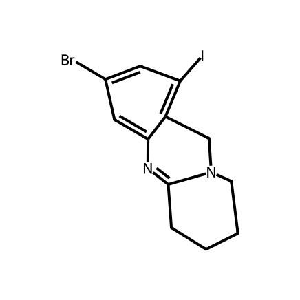 Brc1cc(I)c2c(c1)N=C1CCCCN1C2